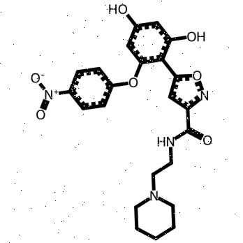 O=C(NCCN1CCCCC1)c1cc(-c2c(O)cc(O)cc2Oc2ccc([N+](=O)[O-])cc2)on1